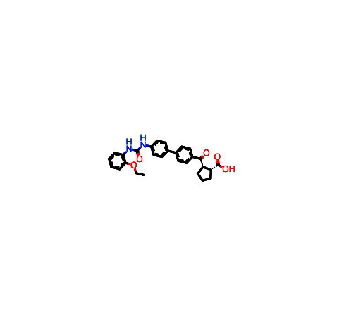 CCOc1ccccc1NC(=O)Nc1ccc(-c2ccc(C(=O)[C@@H]3CCC[C@H]3C(=O)O)cc2)cc1